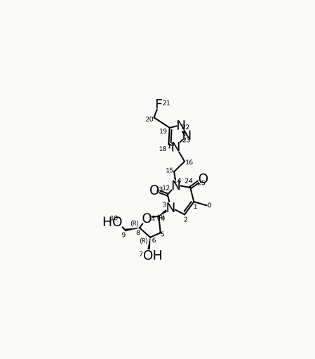 Cc1cn([C@H]2C[C@@H](O)[C@@H](CO)O2)c(=O)n(CCn2cc(CF)nn2)c1=O